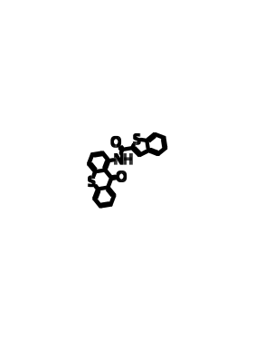 O=C(Nc1cccc2sc3ccccc3c(=O)c12)c1cc2ccccc2s1